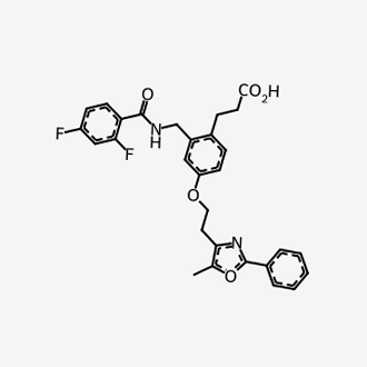 Cc1oc(-c2ccccc2)nc1CCOc1ccc(CCC(=O)O)c(CNC(=O)c2ccc(F)cc2F)c1